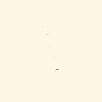 O=C(O)CCCCCCCCCOC1CCOCC1